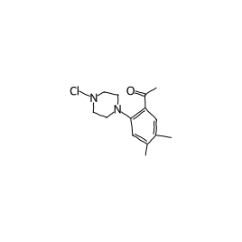 CC(=O)c1cc(C)c(C)cc1N1CCN(Cl)CC1